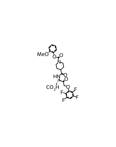 COc1ccccc1OC(=O)N1CCC(C(=O)N[C@@H](CC(=O)O)C(=O)COc2c(F)c(F)cc(F)c2F)CC1